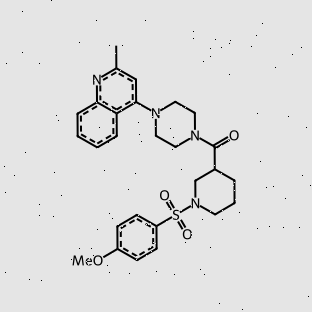 COc1ccc(S(=O)(=O)N2CCCC(C(=O)N3CCN(c4cc(C)nc5ccccc45)CC3)C2)cc1